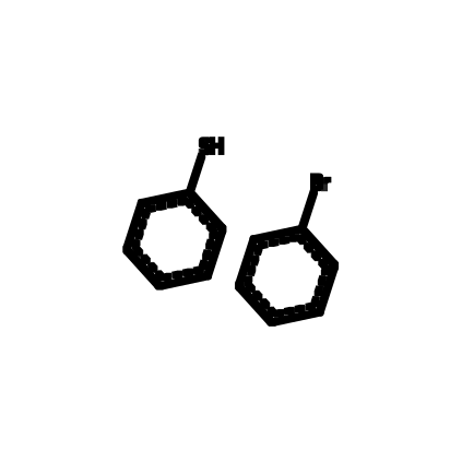 Brc1ccccc1.Sc1ccccc1